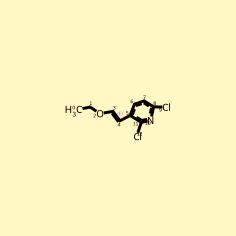 CCO/C=C/c1ccc(Cl)nc1Cl